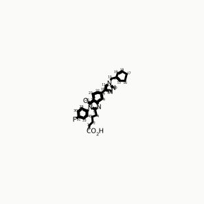 O=C(O)CCCCc1nc2cc(-c3cn(CC4=CCCC=C4)nn3)ccc2c(=O)n1-c1ccc(F)cc1